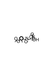 CC(=O)Oc1cccc(C2=N[C@H]([C@H](CO)OS(C)(=O)=O)CO2)c1C